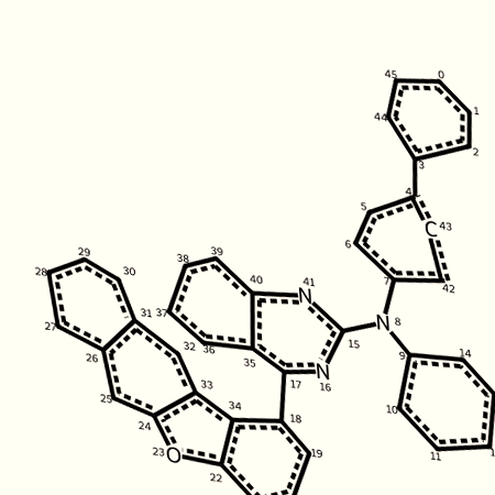 c1ccc(-c2ccc(N(c3ccccc3)c3nc(-c4cccc5oc6cc7ccccc7cc6c45)c4ccccc4n3)cc2)cc1